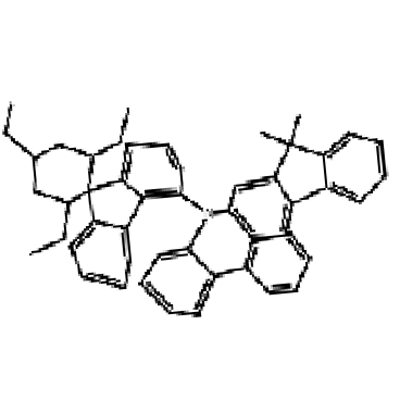 CCC1CC(CC)C2(c3ccccc3-c3c(N(c4ccc5c(c4)C(C)(C)c4ccccc4-5)c4ccccc4-c4ccccc4)cccc32)C(CC)C1